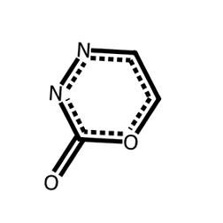 O=c1nncco1